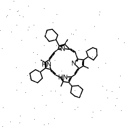 CC1=C(C2CCCCC2)c2cc3nc(cc4[nH]c(cc5[nH]c(cc1n2)c(C1CCCCC1)c5C)c(C1CCCCC1)c4C)C(C1CCCCC1)=C3C